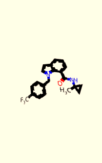 CC1(NC(=O)c2cccc3ccn(Cc4ccc(C(F)(F)F)cc4)c23)CC1